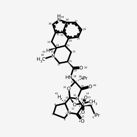 CC(C)C[C@H]1C(=O)N2CCC[C@H]2[C@]2(OS(C)(=O)=O)O[C@](NC(=O)[C@@H]3CC4c5cccc6[nH]cc(c56)C[C@H]4N(C)C3)(C(C)C)C(=O)N12